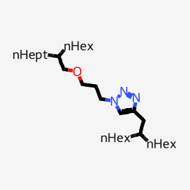 CCCCCCCC(CCCCCC)COCCCn1cc(CC(CCCCCC)CCCCCC)nn1